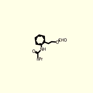 CCCC(=O)Nc1ccccc1CCOC=O